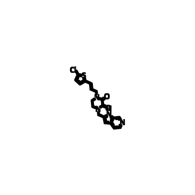 O=C1C(=O)N(Cc2cc3ccncc3[nH]2)CCN1C/C=C/c1ccc(Cl)s1